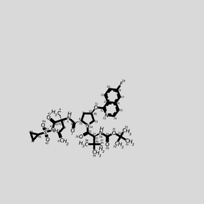 C=CC[C@](C)(NC(=O)[C@@H]1C[C@@H](Oc2nccc3cc(F)ccc23)CN1C(=O)[C@@H](NC(=O)OC(C)(C)C)C(C)(C)C)C(=O)NS(=O)(=O)C1CC1